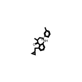 Cc1cccc([C@H]2CC(C)C(=O)c3c(CC4CC4)cccc3N2)c1